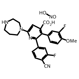 COc1ccc(-c2c(C(=O)O)cc(N3CCCNCC3)nc2-c2ccc(C#N)c(F)c2)cc1F.O=NO